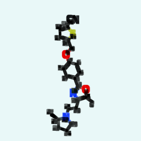 Cc1oc(-c2ccc(OCc3ccc(C#N)s3)cc2)nc1CCN1CCC[C@H]1C